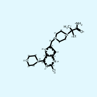 CCC(C)(C(N)=O)N1CCN(Cc2cc3nc(Cl)nc(N4CCOCC4)c3s2)CC1